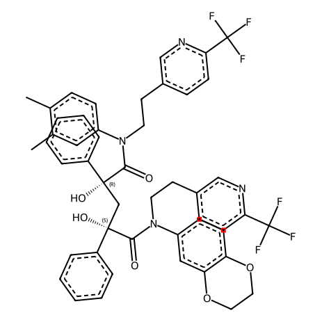 Cc1ccc(N(CCc2ccc(C(F)(F)F)nc2)C(=O)[C@@](O)(C[C@@](O)(C(=O)N(CCc2ccc(C(F)(F)F)nc2)c2ccc3c(c2)OCCO3)c2ccccc2)c2ccccc2)cc1C